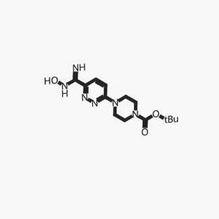 CC(C)(C)OC(=O)N1CCN(c2ccc(C(=N)NO)nn2)CC1